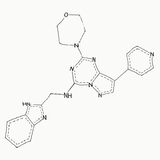 c1ccc2[nH]c(CNc3nc(N4CCOCC4)nc4c(-c5ccncc5)cnn34)nc2c1